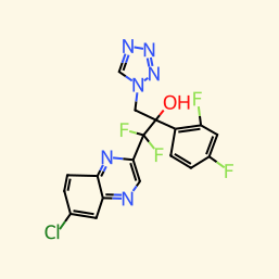 OC(Cn1cnnn1)(c1ccc(F)cc1F)C(F)(F)c1cnc2cc(Cl)ccc2n1